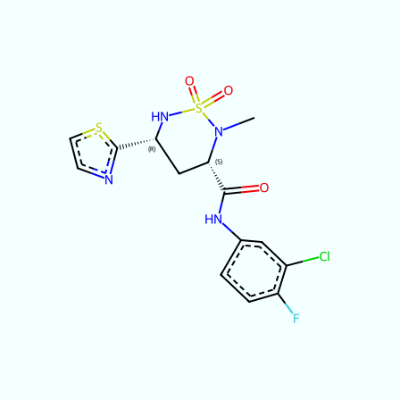 CN1[C@H](C(=O)Nc2ccc(F)c(Cl)c2)C[C@H](c2nccs2)NS1(=O)=O